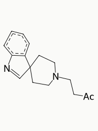 CC(=O)CCN1CCC2(C=Nc3ccccc32)CC1